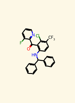 O=C(c1ncccc1F)c1c(NC(c2ccccc2)c2ccccc2)ccc(C(F)(F)F)c1Cl